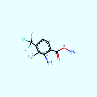 Cc1c(C(F)(F)F)ccc(C(=O)ON)c1N